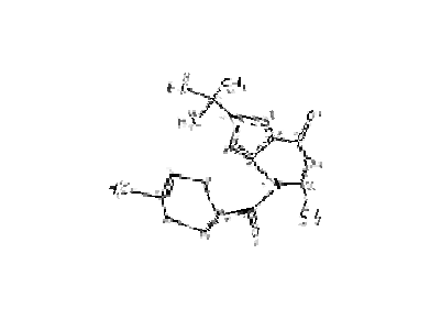 CC1=CC[C@@H](C(=O)N2c3cc(C(C)(C)C)sc3C(=O)OC2C)CC1